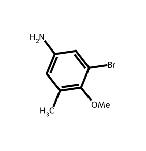 COc1c(C)cc(N)cc1Br